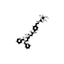 CC(C)(C)OC(=O)NCCc1ccc(NC(=O)CN(N)/C=C(\N)CN(Cc2ccccn2)Cc2ccccn2)cc1